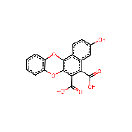 O=C(O)c1c2c(c3ccc(O)cc3c1C(=O)O)Oc1ccccc1O2